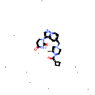 C[C@H]1CN(Cc2ccn3ncc(N4CCC(=O)NC4=O)c3c2)CCN1C(=O)C1CCC1